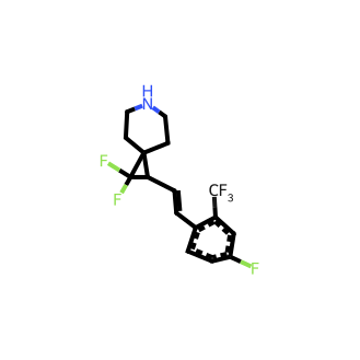 Fc1ccc(/C=C/C2C(F)(F)C23CCNCC3)c(C(F)(F)F)c1